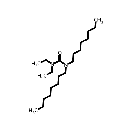 CCCCCCCCN(CCCCCCCC)C(=O)N(CC)CC